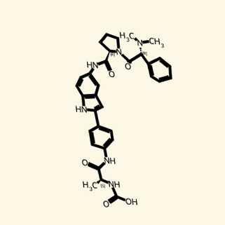 C[C@H](NC(=O)O)C(=O)Nc1ccc(-c2cc3cc(NC(=O)[C@H]4CCCN4C(=O)[C@@H](c4ccccc4)N(C)C)ccc3[nH]2)cc1